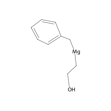 OC[CH2][Mg][CH2]c1ccccc1